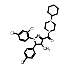 CC1C(C(=O)N2CCN(C3CCCCC3)CC2)=NN(c2ccc(Cl)cc2Cl)C1c1ccc(Cl)cc1